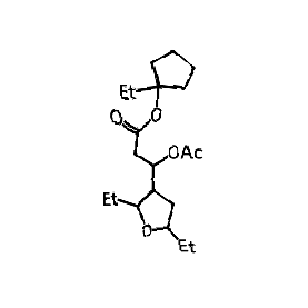 CCC1CC(C(CC(=O)OC2(CC)CCCC2)OC(C)=O)C(CC)O1